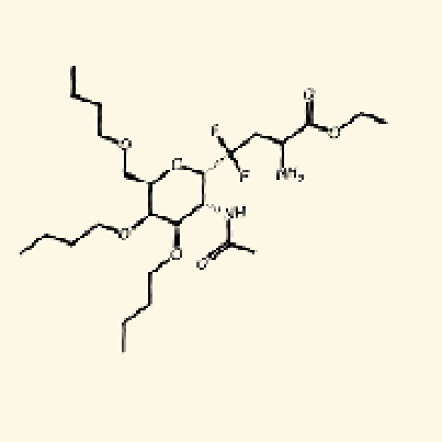 CCCCOC[C@H]1O[C@H](C(F)(F)CC(N)C(=O)OCC)[C@H](NC(C)=O)[C@@H](OCCCC)[C@H]1OCCCC